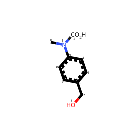 CN(C(=O)O)c1ccc(CO)cc1